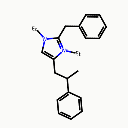 CCn1cc(CC(C)c2ccccc2)[n+](CC)c1Cc1ccccc1